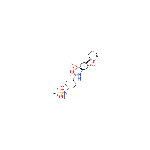 COc1cc2c3c(oc2cc1NC(=O)C1CCC(NS(=O)(=O)C(C)(C)C)CC1)C=CCC3